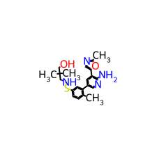 Cc1ncc(-c2cc(-c3cc(SNCC(C)(C)CO)ccc3C)cnc2N)o1